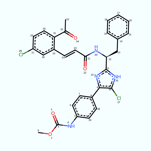 COC(=O)Nc1ccc(-c2nc([C@H](Cc3ccccc3)NC(=O)/C=C/c3cc(Cl)ccc3C(C)=O)[nH]c2Cl)cc1